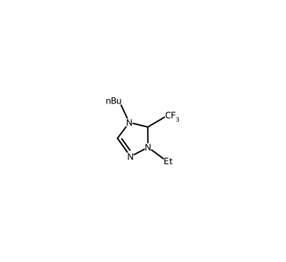 CCCCN1C=NN(CC)C1C(F)(F)F